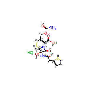 CO[C@@]1(NC(=O)Cc2cccs2)C(=O)N2C(C(=O)O)=C(COC(N)=O)CS[C@@H]21.Cl